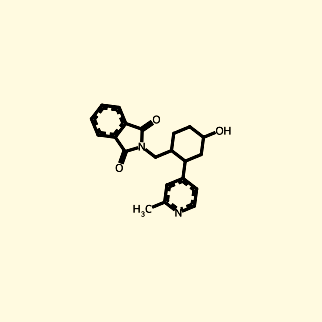 Cc1cc(C2CC(O)CCC2CN2C(=O)c3ccccc3C2=O)ccn1